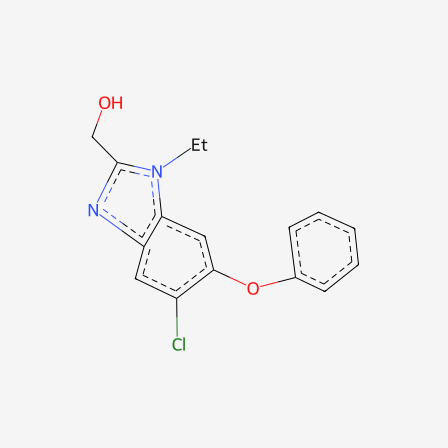 CCn1c(CO)nc2cc(Cl)c(Oc3ccccc3)cc21